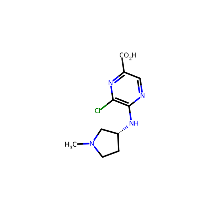 CN1CC[C@@H](Nc2ncc(C(=O)O)nc2Cl)C1